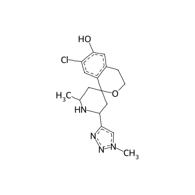 CC1CC2(CC(c3cn(C)nn3)N1)OCCc1cc(O)c(Cl)cc12